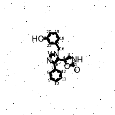 O=c1[nH]cc(-c2c(-c3ccccc3)ncn2Cc2cccc(O)c2)o1